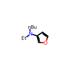 CCCCN(CC)c1[c]occ1